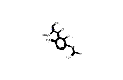 C=C(CC)Nc1ccc(=C)/c(=C(Cl)\C(=C/C)C(=O)OCC)c1C